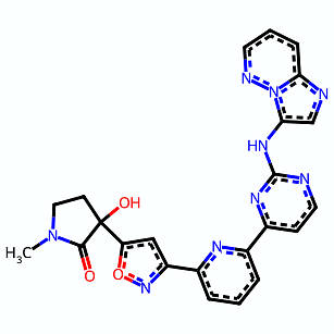 CN1CCC(O)(c2cc(-c3cccc(-c4ccnc(Nc5cnc6cccnn56)n4)n3)no2)C1=O